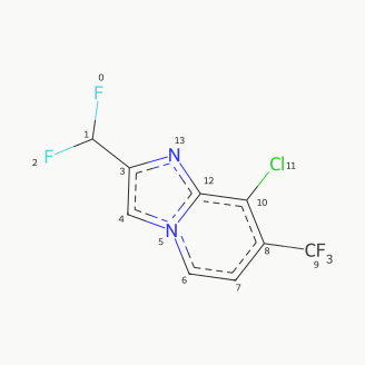 FC(F)c1cn2ccc(C(F)(F)F)c(Cl)c2n1